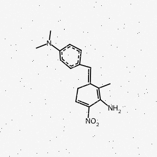 CC1=C(N)C([N+](=O)[O-])=CCC1=Cc1ccc(N(C)C)cc1